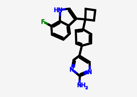 Nc1ncc(-c2ccc(C3(c4c[nH]c5c(F)cccc45)CCC3)cc2)cn1